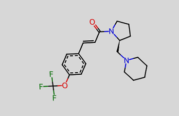 O=C(/C=C/c1ccc(OC(F)(F)F)cc1)N1CCC[C@H]1CN1CCCCC1